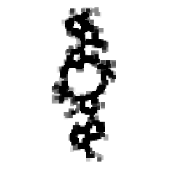 Nc1ncnc2c1ncn2[C@@H]1OC2COP(=O)(S)O[C@@H]3CC(COP(=O)(S)OC2[C@H]1F)O[C@H]3n1c(=O)sc2c(N)ncnc21